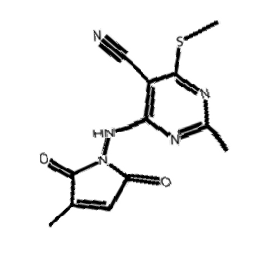 CSc1nc(C)nc(NN2C(=O)C=C(C)C2=O)c1C#N